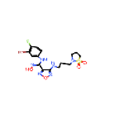 O=S1(=O)CCCN1CCCNc1nonc1C(=NO)Nc1ccc(F)c(Br)c1